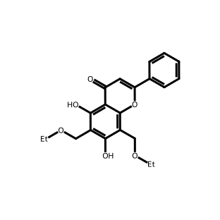 CCOCc1c(O)c(COCC)c2oc(-c3ccccc3)cc(=O)c2c1O